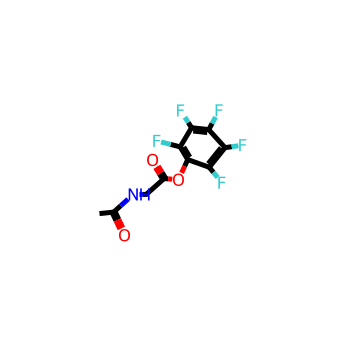 CC(=O)NCC(=O)Oc1c(F)c(F)c(F)c(F)c1F